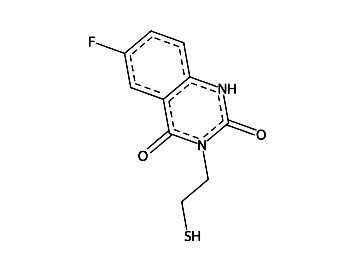 O=c1[nH]c2ccc(F)cc2c(=O)n1CCS